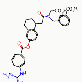 N=C(N)NC1=CC=C(C(=O)Oc2ccc3c(c2)CCCC3CC(=O)N(CC(=O)O)Cc2cccc(C(=O)O)c2)C=CC1